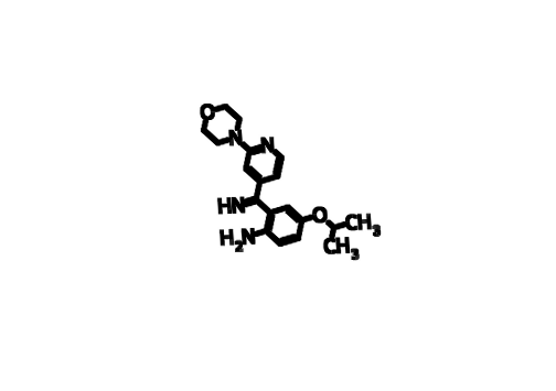 CC(C)Oc1ccc(N)c(C(=N)c2ccnc(N3CCOCC3)c2)c1